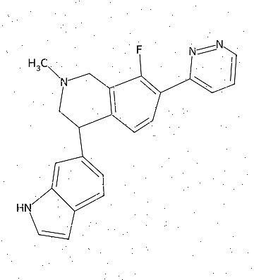 CN1Cc2c(ccc(-c3cccnn3)c2F)C(c2ccc3cc[nH]c3c2)C1